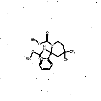 CC(C)(C)OC(=O)NC1(c2ccccn2)CC(O)(C(F)(F)F)CCN1C(=O)OC(C)(C)C